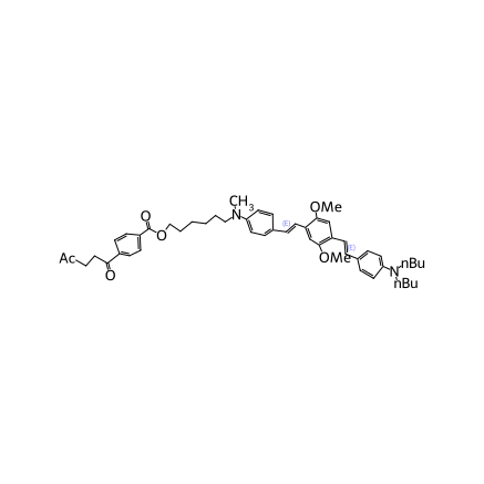 CCCCN(CCCC)c1ccc(/C=C/c2cc(OC)c(/C=C/c3ccc(N(C)CCCCCCOC(=O)c4ccc(C(=O)CCC(C)=O)cc4)cc3)cc2OC)cc1